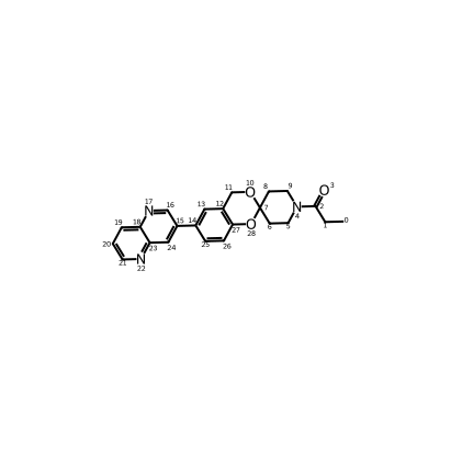 CCC(=O)N1CCC2(CC1)OCc1cc(-c3cnc4cccnc4c3)ccc1O2